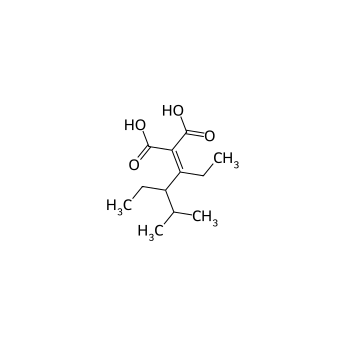 CCC(=C(C(=O)O)C(=O)O)C(CC)C(C)C